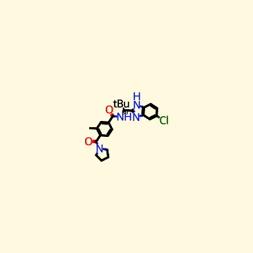 Cc1cc(C(=O)N[C@H](c2nc3cc(Cl)ccc3[nH]2)C(C)(C)C)ccc1C(=O)N1CCCC1